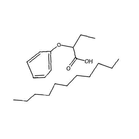 CCC(Oc1ccccc1)C(=O)O.CCCCCCCCCCC